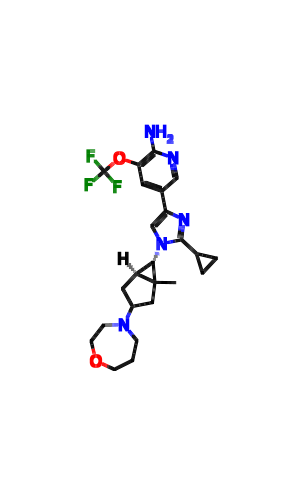 CC12CC(N3CCCOCC3)C[C@H]1[C@@H]2n1cc(-c2cnc(N)c(OC(F)(F)F)c2)nc1C1CC1